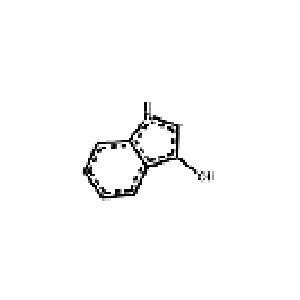 Oc1[c][nH]c2ccccc12